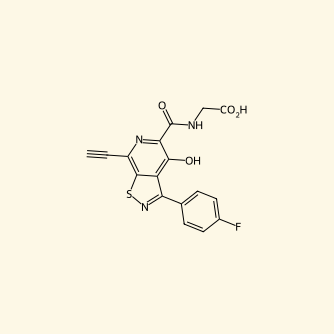 C#Cc1nc(C(=O)NCC(=O)O)c(O)c2c(-c3ccc(F)cc3)nsc12